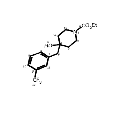 CCOC(=O)N1CCC(O)(Cc2cccc(C(F)(F)F)c2)CC1